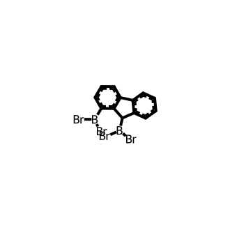 BrB(Br)c1cccc2c1C(B(Br)Br)c1ccccc1-2